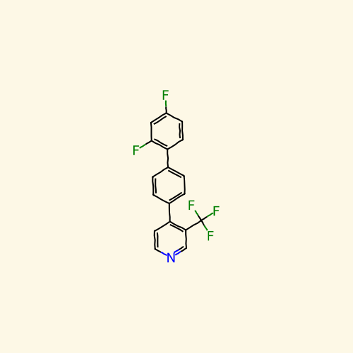 Fc1ccc(-c2ccc(-c3ccncc3C(F)(F)F)cc2)c(F)c1